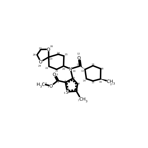 COC(=O)c1sc(C)cc1N(C(=O)[C@H]1CC[C@H](C)CC1)C1CCC2(CC1)OCCO2